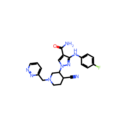 N#CC1CCN(Cc2cccnn2)CC1n1cc(C(N)=O)c(Nc2ccc(F)cc2)n1